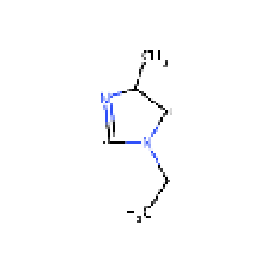 CCN1[C]C(C)N=[C]1